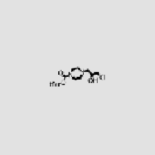 CC(C)(C)OC(=O)N1CCN(CC(O)CCl)CC1